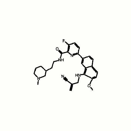 C=C(C#N)CNc1c(OC)ccc2ccc(-c3ccc(F)c(C(=O)NCCC4CCCN(C)C4)n3)cc12